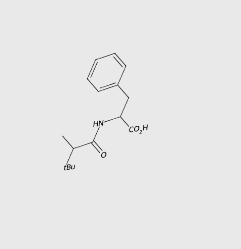 CC(C(=O)NC(Cc1ccccc1)C(=O)O)C(C)(C)C